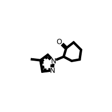 Cc1cnn(C2CCCCC2=O)c1